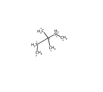 C[SiH2]C(C)(C)[SiH2]C